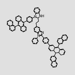 C1=CCC2C(=C1)C(c1ccc3ccccc3c1)=C1C=C(c3ccc(-c4nc5cc(CCC6Nc7ccccc7N6c6ccc(-c7c8ccccc8c(-c8cccc9ccccc89)c8ccccc78)cc6)ccc5n4-c4ccccc4)cc3)C=CC1C2c1ccc2ccccc2c1